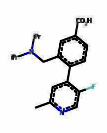 Cc1cc(-c2ccc(C(=O)O)cc2CN(C(C)C)C(C)C)c(F)cn1